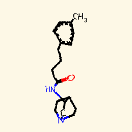 Cc1ccc(CCCC(=O)NC2CN3CCC2CC3)cc1